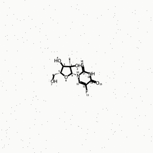 C[C@@]1(O)C(O)[C@@H](CO)O[C@H]1n1cc(F)c(=O)[nH]c1=S